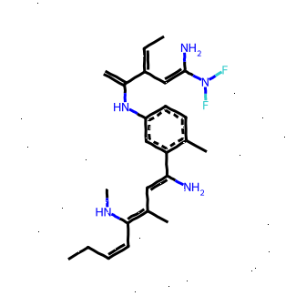 C=C(Nc1ccc(C)c(/C(N)=C/C(C)=C(/C=C\CC)NC)c1)C(=C/C)/C=C(\N)N(F)F